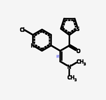 CN(C)/C=C(\C(=O)c1cccs1)c1ccc(Cl)nc1